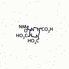 CNC(=O)/C1=N\CCN(CC(=O)O)CCN(CC(=O)O)CCN(CC(=O)O)C1